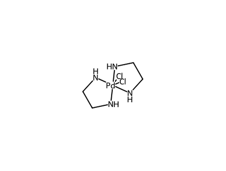 [Cl][Pd]12([Cl])([NH]CC[NH]1)[NH]CC[NH]2